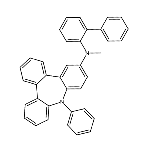 CN(c1ccc2c(c1)-c1ccccc1-c1ccccc1N2c1ccccc1)c1ccccc1-c1ccccc1